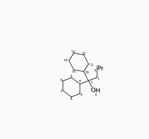 CC(C)CC(O)(C1CCCCC1)C1CCCCC1